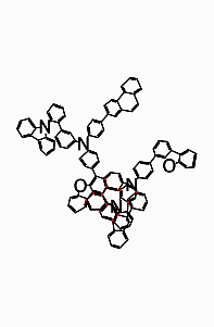 c1cc(-c2ccccc2-n2c3ccccc3c3ccccc32)cc(N(c2ccc(-c3ccc4c(ccc5ccccc54)c3)cc2)c2ccc(-c3ccc(-c4ccc5c(c4)c(-c4cccc(N(c6ccc(-c7cccc8c7oc7ccccc78)cc6)c6cccc(-c7ccccc7-n7c8ccccc8c8ccccc87)c6)c4)cc4ccccc45)c4c3oc3ccccc34)cc2)c1